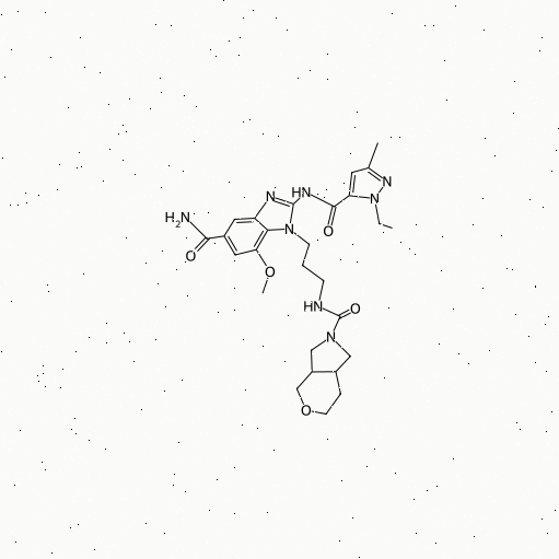 CCn1nc(C)cc1C(=O)Nc1nc2cc(C(N)=O)cc(OC)c2n1CCCNC(=O)N1CC2CCOCC2C1